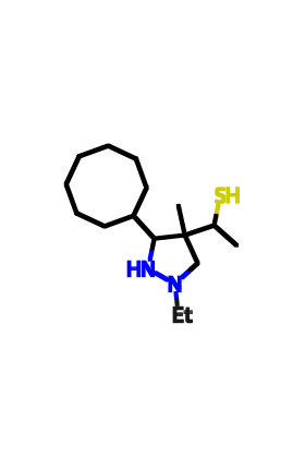 CCN1CC(C)(C(C)S)C(C2CCCCCCC2)N1